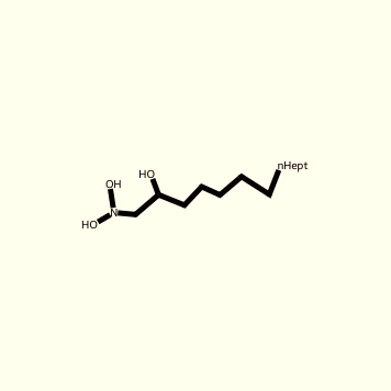 CCCCCCCCCCCCC(O)CN(O)O